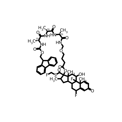 CC1CC2C3CC(F)C4=CC(=O)C=CC4(C)C3(F)C(O)CC2(C)C1(OC(=O)CCCOCNC(=O)[C@H](C)NC(=O)[C@H](C)NC(=O)[C@H](C)NC(=O)OCC1c2ccccc2-c2ccccc21)C(=O)SCF